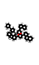 c1ccc(-c2ccc(N(c3cccc(-c4cccc5ccccc45)c3)c3c(-c4ccc(-c5cccc6c5ccc5ccccc56)cc4)ccc4oc5ccccc5c34)cc2)cc1